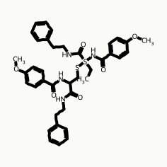 CCS(NC(=O)c1ccc(OC)cc1)(SCC(NC(=O)c1ccc(OC)cc1)C(=O)NCCc1ccccc1)C(=O)NCCc1ccccc1